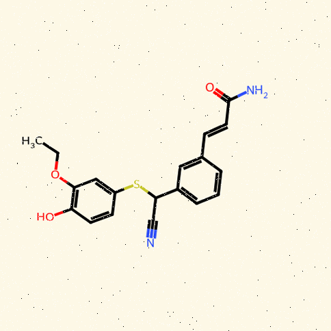 CCOc1cc(SC(C#N)c2cccc(C=CC(N)=O)c2)ccc1O